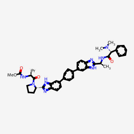 COC(=O)N[C@H](C(=O)N1CCC[C@H]1c1nc2ccc(-c3ccc(-c4ccc5nc([C@H](C)NC(=O)[C@@H](c6ccccc6)N(C)C)[nH]c5c4)cc3)cc2[nH]1)C(C)C